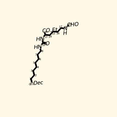 CCCCCCCCCCCCCCCCCCNC(=O)NC(CCCCNC=O)C(=O)OCC